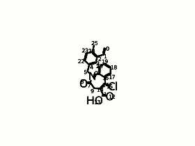 C=Cc1cc(CN2C(=O)CC(C(=O)O)=C(Cl)c3ccccc32)ccc1C